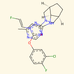 Cc1cc(N2C[C@H]3CC[C@@H](C2)[C@H]3Nc2nc(Oc3ccc(F)c(Cl)c3)n(/C=C/F)n2)ncn1